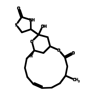 CC1CC/C=C\CCC[C@@H]2CC(CC(O)(C3CSC(=O)N3)O2)OC(=O)C1